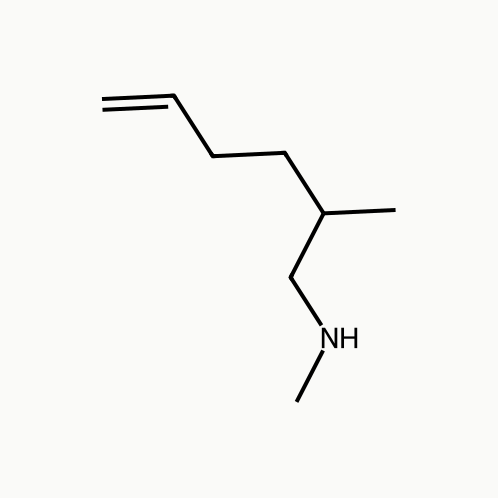 C=CCCC(C)CNC